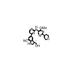 COc1nc(C2=CCOCC2)ncc1Nc1nccc(-c2cc(C#N)c3c(c2)[C@@](C)(CO)CN3)n1